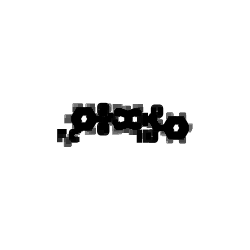 O=C([C@H](O)c1ccccc1)N1CC2=C(C1)CN(S(=O)(=O)c1cccc(C(F)(F)F)c1)C2